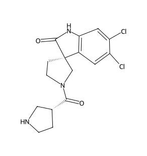 O=C([C@@H]1CCNC1)N1CC[C@]2(C1)C(=O)Nc1cc(Cl)c(Cl)cc12